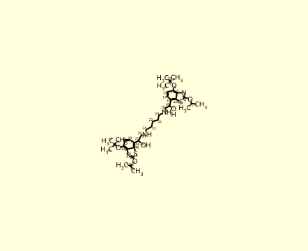 CC(C)Oc1nc2c(OC(C)(C)C)ccc(C(O)CNCCCCCNCC(O)c3ccc(OC(C)(C)C)c4nc(OC(C)C)sc34)c2s1